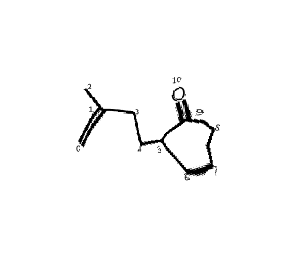 C=C(C)CCC1CCCC1=O